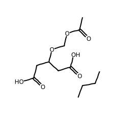 CC(=O)OCOC(CC(=O)O)CC(=O)O.CCCC